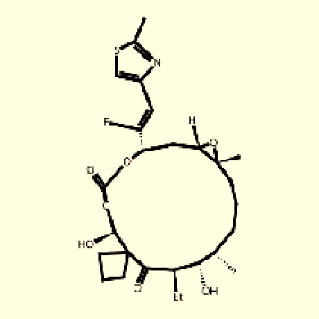 CC[C@H]1C(=O)C2(CCC2)[C@@H](O)CC(=O)O[C@H](C(F)=Cc2csc(C)n2)C[C@@H]2O[C@]2(C)CCC[C@H](C)[C@@H]1O